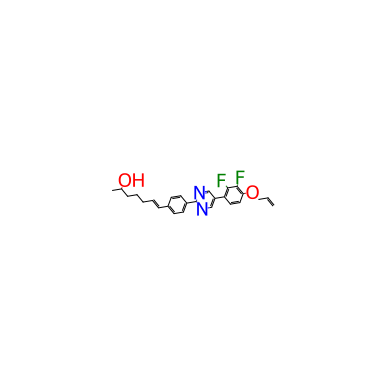 C=CCOc1ccc(-c2cnc(-c3ccc(C=CCCCC(C)O)cc3)nc2)c(F)c1F